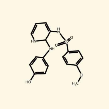 COc1ccc(S(=O)(=O)NC2=CC=CNC2Nc2ccc(O)cc2)cc1